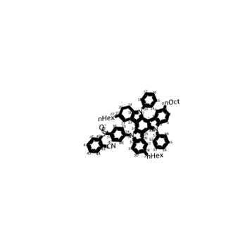 CCCCCCCCc1ccc2c(c1)c1c3c(c4c(n3-c3ccccc3)CCC(CCCCCC)=C4)c3c(c4cc(CCCCCC)ccc4n3-c3ccc([S+]([O-])c4ccccc4C#N)cc3)c1n2-c1ccccc1